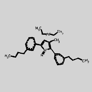 CCCCc1cccc(C2=CC(C)=C(c3cccc(CCCC)c3)[N+]2=[N-])c1.C[CH2][Pd][CH2]C